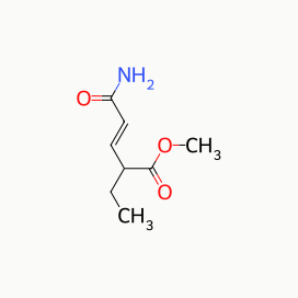 CCC(C=CC(N)=O)C(=O)OC